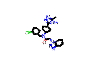 Cc1nnc(-c2ccc(N(Cc3cccc(Cl)c3)C(=O)Cn3nnc4ccccc43)cc2)[nH]1